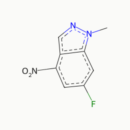 Cn1ncc2c([N+](=O)[O-])cc(F)cc21